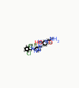 CN(Cc1c(Cl)cccc1Cl)c1ncnc(NC[C@H]2CCN(CC(N)=O)C[C@@H]2O)c1F